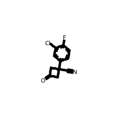 N#CC1(c2ccc(F)c(Cl)c2)CC(=O)C1